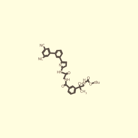 CC(C)(C)OC(=O)NCC(C)(C)c1cccc(C(=O)NCC(=O)NC2=NC(c3cccc(-c4cc(C#N)cc(C#N)c4)c3)=CC2)c1